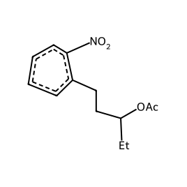 CCC(CCc1ccccc1[N+](=O)[O-])OC(C)=O